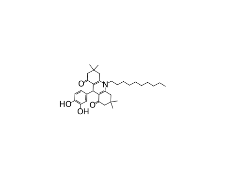 CCCCCCCCCCN1C2=C(C(=O)CC(C)(C)C2)C(c2ccc(O)c(O)c2)C2=C1CC(C)(C)CC2=O